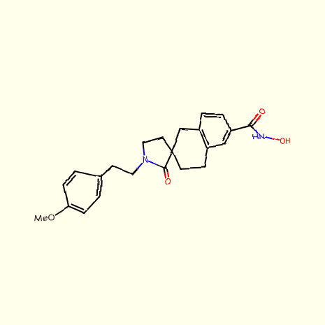 COc1ccc(CCN2CCC3(CCc4cc(C(=O)NO)ccc4C3)C2=O)cc1